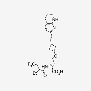 CCC(CC(F)(F)F)C(=O)N[C@@H](CCO[C@H]1C[C@H](CCc2ccc3c(n2)NCCC3)C1)C(=O)O